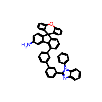 Nc1ccc2c(c1)-c1c(-c3cccc(-c4cccc(-c5nc6ccccc6n5-c5ccccc5)c4)c3)cccc1C21c2ccccc2Oc2ccccc21